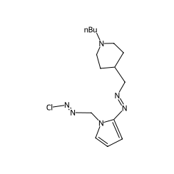 CCCCN1CCC(CN=Nc2cccn2CN=NCl)CC1